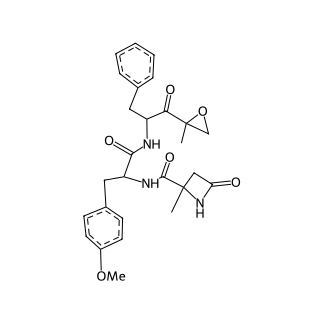 COc1ccc(CC(NC(=O)C2(C)CC(=O)N2)C(=O)NC(Cc2ccccc2)C(=O)C2(C)CO2)cc1